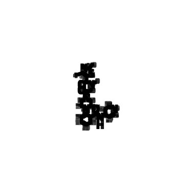 Cc1nc(C)c(C(=O)N(C)CC(=O)N2CCN(c3ccccc3C(=O)Nc3ccncc3)CC2)s1